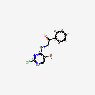 O=C(CNc1nc(Cl)ncc1Br)c1ccccc1